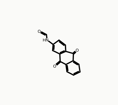 O=CNc1ccc2c(c1)C(=O)c1ccccc1C2=O